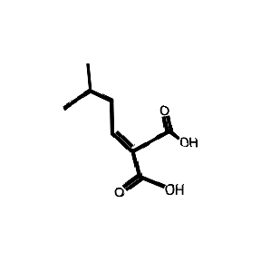 CC(C)CC=C(C(=O)O)C(=O)O